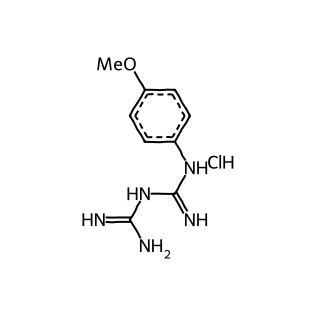 COc1ccc(NC(=N)NC(=N)N)cc1.Cl